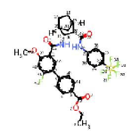 CCOC(=O)c1ccc(-c2cc(C(=O)N[C@@H]3[C@H]4CC[C@H](C4)[C@@H]3C(=O)Nc3ccc(S(F)(F)(F)(F)F)cc3)c(OC)cc2F)cc1